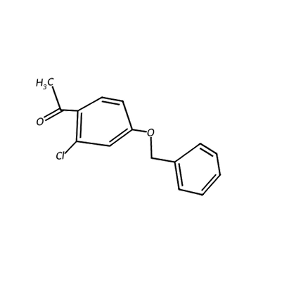 CC(=O)c1ccc(OCc2ccccc2)cc1Cl